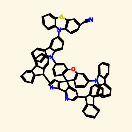 N#Cc1ccc2c(c1)Sc1ccccc1N2c1ccc2c(c1)c1ccccc1n2-c1ccc2c(c1)Oc1cc(-n3c4ccccc4c4ccccc43)ccc1C21c2cc(C3c4ccccc4-c4ccccc43)cnc2-c2ncc(C3c4ccccc4-c4ccccc43)cc21